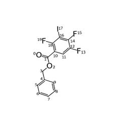 O=C(OCc1ccccc1)c1cc(F)c(F)c(I)c1F